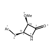 CO[C@H]1C(=O)N[C@H]1SC(C)=O